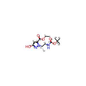 CCOC(=O)c1cc(O)nn1[C@@H](C)CNC(=O)OC(C)(C)C